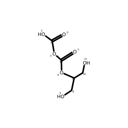 O=C(O)OC(=O)OC(CO)CO